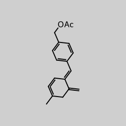 C=C1CC(C)=C=C/C1=C\c1ccc(COC(C)=O)cc1